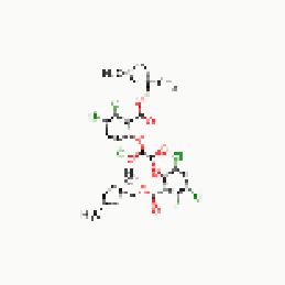 CC1CCC(C)(COC(=O)c2c(Cl)c(Cl)cc(Cl)c2OC(=O)C(=O)Oc2c(Cl)cc(Cl)c(Cl)c2C(=O)OCC2(C)CCC(C)C2)C1